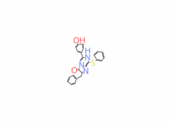 O=c1c(Cc2ccccc2)nc2c(Sc3ccccc3)[nH]c(-c3ccc(O)cc3)cn1-2